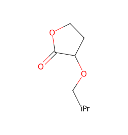 CC(C)COC1CCOC1=O